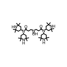 CC1(C)CC(N(C(=O)CCN(O)CCC(=O)N(C2CC(C)(C)NC(C)(C)C2)C2CC(C)(C)NC(C)(C)C2)C2CC(C)(C)NC(C)(C)C2)CC(C)(C)N1